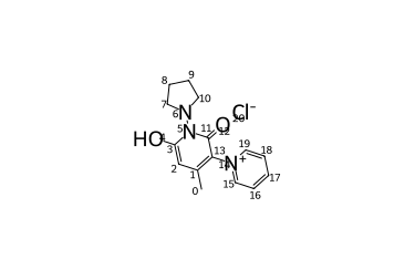 Cc1cc(O)n(N2CCCC2)c(=O)c1-[n+]1ccccc1.[Cl-]